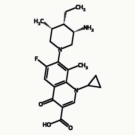 CC[C@@H]1[C@H](N)CN(c2c(F)cc3c(=O)c(C(=O)O)cn(C4CC4)c3c2C)C[C@@H]1C